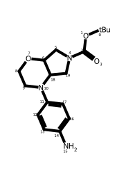 CC(C)(C)OC(=O)N1CC2OCCN(c3ccc(N)cc3)C2C1